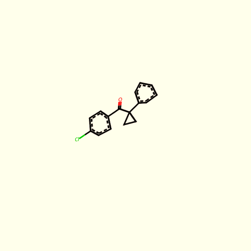 O=C(c1ccc(Cl)cc1)C1(c2ccccc2)CC1